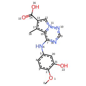 COc1ccc(Nc2ncnn3cc(C(=O)O)c(C)c23)cc1O